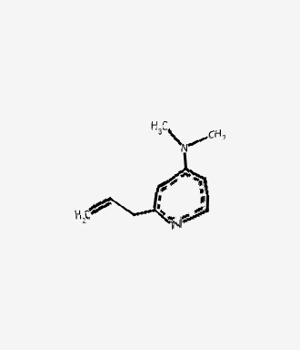 C=CCc1cc(N(C)C)ccn1